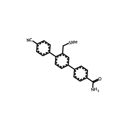 CSCc1cc(-c2ccc(C(N)=O)cc2)ccc1-c1ccc(C#N)cc1